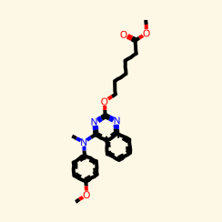 COC(=O)CCCCCOc1nc(N(C)c2ccc(OC)cc2)c2ccccc2n1